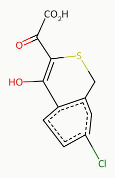 O=C(O)C(=O)C1=C(O)c2ccc(Cl)cc2CS1